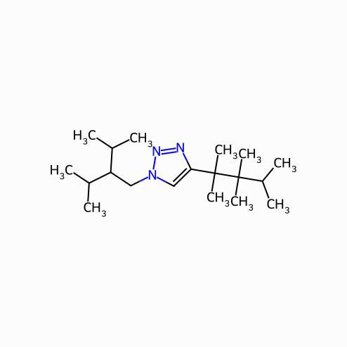 CC(C)C(Cn1cc(C(C)(C)C(C)(C)C(C)C)nn1)C(C)C